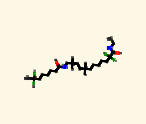 CC(C)(C)CNC(=O)C(F)(F)CCCCCC(C)(C)CCC(C)(C)CNC(=O)CCCCCC(F)(F)C(C)(C)C